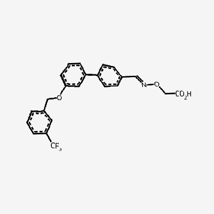 O=C(O)CO/N=C/c1ccc(-c2cccc(OCc3cccc(C(F)(F)F)c3)c2)cc1